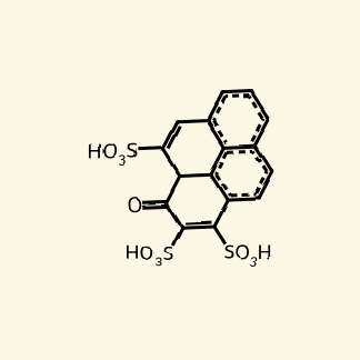 O=C1C(S(=O)(=O)O)=C(S(=O)(=O)O)c2ccc3cccc4c3c2C1C(S(=O)(=O)O)=C4